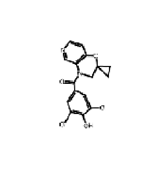 O=C(c1cc(Cl)c(O)c(Cl)c1)N1CC2(CC2)Oc2ccncc21